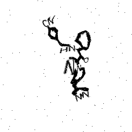 Cn1cc(-c2ccn3c(C(=O)[C@H](NCCc4ccc(C#N)cc4)c4ccccc4)cnc3c2)cn1